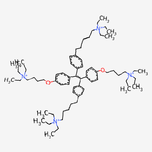 CC[N+](CC)(CC)CCCCCc1ccc(/C(=C(/c2ccc(CCCCC[N+](CC)(CC)CC)cc2)c2ccc(OCCCC[N+](CC)(CC)CC)cc2)c2ccc(OCCCC[N+](CC)(CC)CC)cc2)cc1